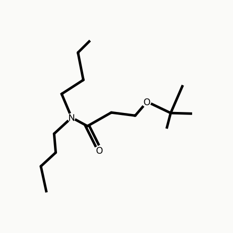 CCCCN(CCCC)C(=O)CCOC(C)(C)C